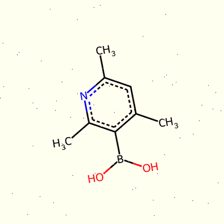 Cc1cc(C)c(B(O)O)c(C)n1